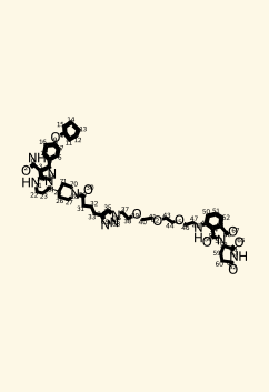 NC(=O)c1c(-c2ccc(Oc3ccccc3)cc2)nn2c1NCC[C@H]2C1CCN(C(=O)CCCc2cn(CCOCCOCCOCCNc3cccc4c3C(=O)N(C3CCC(=O)NC3=O)C4=O)nn2)CC1